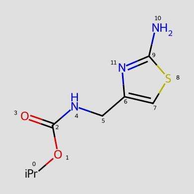 CC(C)OC(=O)NCc1csc(N)n1